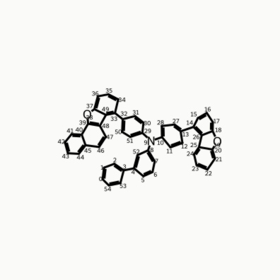 c1ccc(-c2cccc(N(c3ccc(-c4cccc5oc6ccccc6c45)cc3)c3ccc(-c4cccc5oc6c7ccccc7ccc6c45)cc3)c2)cc1